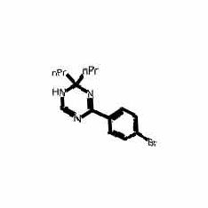 CCCC1(CCC)N=C(c2ccc(Br)cc2)N=CN1